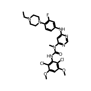 CCN1CCN(c2ccc(Nc3cc(N(C)C(=O)Nc4c(Cl)c(OC)cc(OC)c4Cl)ncn3)cc2F)CC1